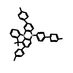 Cc1ccc(-c2ccc(N3c4ccc(-c5ccc(C)cc5)cc4B4c5ccccc5C(C)(C)c5c(-c6ccc(C)cc6)ccc3c54)cc2)cc1